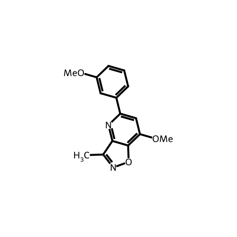 COc1cccc(-c2cc(OC)c3onc(C)c3n2)c1